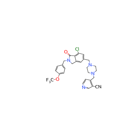 N#Cc1cnccc1CN1CCN(Cc2cc(Cl)c3c(c2)CN(Cc2ccc(OC(F)(F)F)cc2)C3=O)CC1